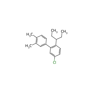 CCC(CC)c1ccc(Cl)cc1-c1ccc(C)c(C)c1